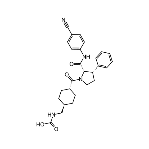 N#Cc1ccc(NC(=O)[C@@H]2[C@H](c3ccccc3)CCN2C(=O)[C@H]2CC[C@H](CNC(=O)O)CC2)cc1